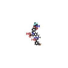 CC(Cc1ccc2c(c1)cc(C(=O)O)n2Cc1ccc(S(=O)(=O)NC(F)(F)F)cc1)NCC(O)c1cccc(Br)c1